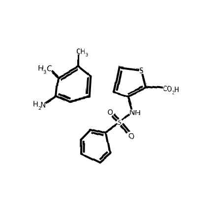 Cc1cccc(N)c1C.O=C(O)c1sccc1NS(=O)(=O)c1ccccc1